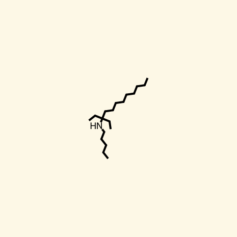 CCCCCCCCCC(CC)(CC)NCCCCC